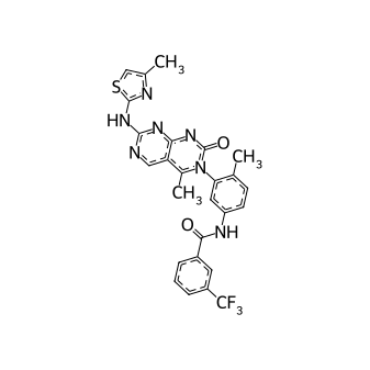 Cc1csc(Nc2ncc3c(C)n(-c4cc(NC(=O)c5cccc(C(F)(F)F)c5)ccc4C)c(=O)nc3n2)n1